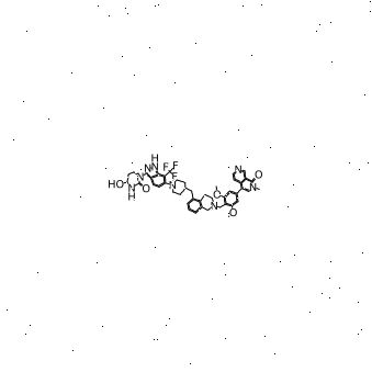 COc1cc(-c2cn(C)c(=O)c3cnccc23)cc(OC)c1CN1CCc2c(CC3CCN(c4ccc5c(N6CCC(O)NC6=O)n[nH]c5c4C(F)(F)F)CC3)cccc2C1